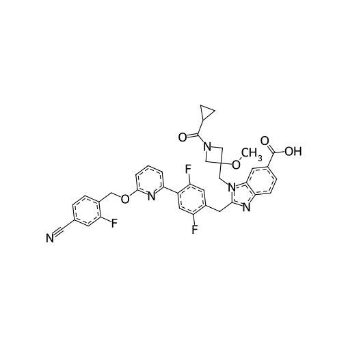 COC1(Cn2c(Cc3cc(F)c(-c4cccc(OCc5ccc(C#N)cc5F)n4)cc3F)nc3ccc(C(=O)O)cc32)CN(C(=O)C2CC2)C1